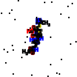 Cn1nnnc1SCC1=C(C(=O)O)N2C(=O)C(Nc3nc(CCNS(C)(=O)=O)c[nH]3)[C@@H]2SC1